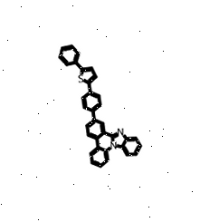 c1ccc(-c2ccc(-c3ccc(-c4ccc5c6ccccc6n6c7ccccc7nc6c5c4)cc3)s2)cc1